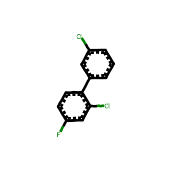 Fc1ccc(-c2[c]ccc(Cl)c2)c(Cl)c1